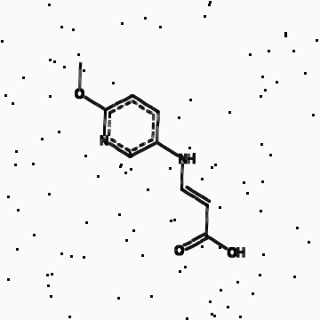 COc1ccc(N/C=C/C(=O)O)cn1